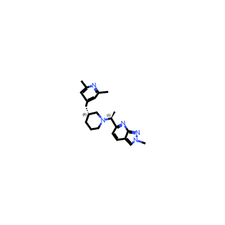 Cc1cc(C[C@H]2CCCN([C@@H](C)c3ccc4cn(C)nc4n3)C2)cc(C)n1